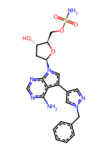 Nc1ncnc2c1c(-c1cnn(Cc3ccccc3)c1)cn2[C@H]1C[C@H](O)[C@@H](COS(N)(=O)=O)O1